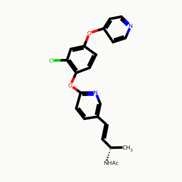 CC(=O)N[C@@H](C)/C=C/c1ccc(Oc2ccc(Oc3ccncc3)cc2Cl)nc1